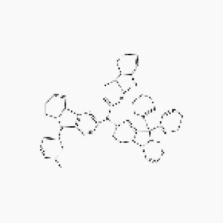 CC1C=CC=C(N2c3ccc(N(C4=CCC5C(=C4)OC4C=CCCC45)C4C=C5C(CC4)C4C=CC=CC4C5(C4=CCCC=C4)C4=CCCCC4)cc3C3C=CC=CC32)C1